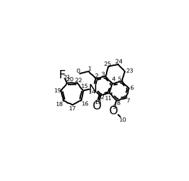 CCc1c2c3c(ccc(OC)c3c(=O)n1C1=CCC=CC(F)=C1)CCC2